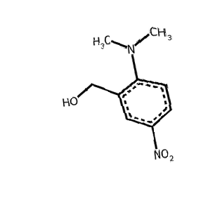 CN(C)c1ccc([N+](=O)[O-])cc1CO